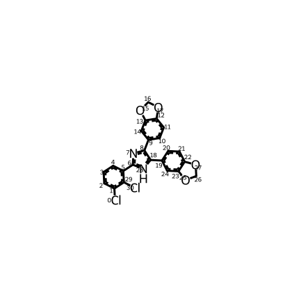 Clc1cccc(-c2nc(-c3ccc4c(c3)OCO4)c(-c3ccc4c(c3)OCO4)[nH]2)c1Cl